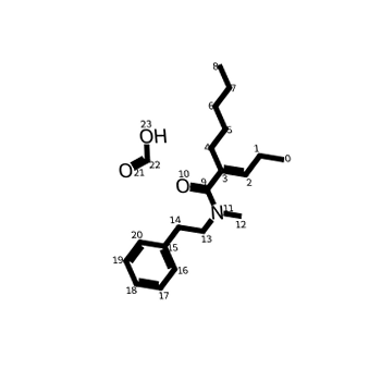 CCC=C(CCCCC)C(=O)N(C)CCc1ccccc1.O=CO